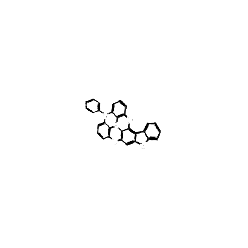 c1ccc(N2c3cccc4c3B3c5c(cccc52)Oc2c3c(cc3sc5ccccc5c23)O4)cc1